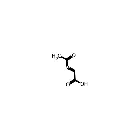 CC(=O)N=CC(=O)O